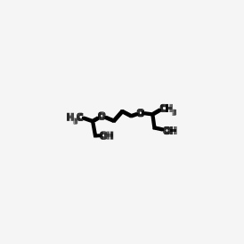 CC(CO)OCCCOC(C)CO